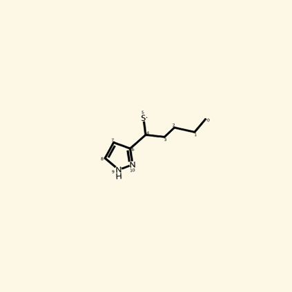 CCCCC([S])c1cc[nH]n1